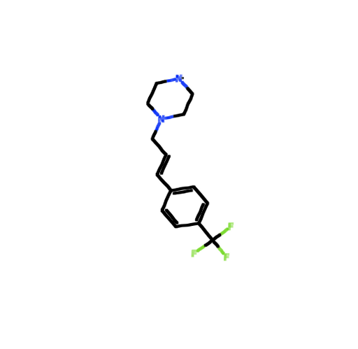 FC(F)(F)c1ccc(/C=C/CN2CC[N]CC2)cc1